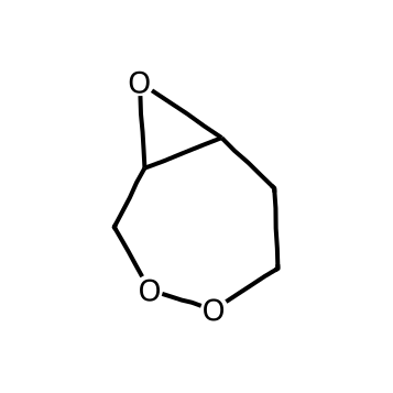 C1CC2OC2COO1